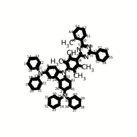 Cc1c(C)c(-n2c3ccc(N(c4ccccc4)c4ccccc4)cc3c3cc(N(c4ccccc4)c4ccccc4)ccc32)c(C)c(C)c1-c1nc(-c2ccccc2)nc(C2C=CC=C[C@H]2C)n1